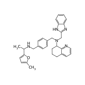 Cc1ccc(C(C)NCc2ccc(CN(Cc3nc4ccccc4[nH]3)C3CCCc4cccnc43)cc2)o1